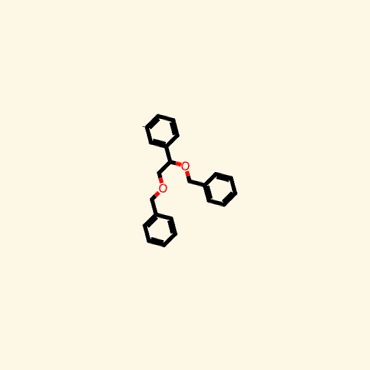 [c]1cccc(C(COCc2ccccc2)OCc2ccccc2)c1